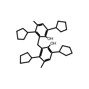 Cc1cc(C2CCCC2)c(O)c(Cc2c(O)c(C3CCCC3)cc(C)c2C2CCCC2)c1C1CCCC1